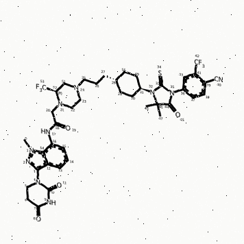 Cn1nc(N2CCC(=O)NC2=O)c2cccc(NC(=O)CN3CCN(CCC[C@H]4CC[C@H](N5C(=S)N(c6ccc(C#N)c(C(F)(F)F)c6)C(=O)C5(C)C)CC4)C[C@@H]3C(F)(F)F)c21